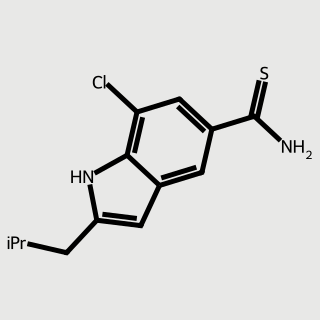 CC(C)Cc1cc2cc(C(N)=S)cc(Cl)c2[nH]1